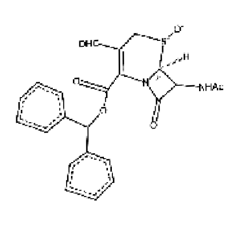 CC(=O)NC1C(=O)N2C(C(=O)OC(c3ccccc3)c3ccccc3)=C(C=O)C[S+]([O-])[C@@H]12